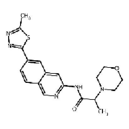 Cc1nnc(-c2ccc3cnc(NC(=O)C(C)N4CCOCC4)cc3c2)s1